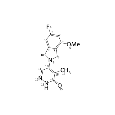 COc1cc(F)cc2c1CN(c1cn[nH]c(=O)c1C)C2